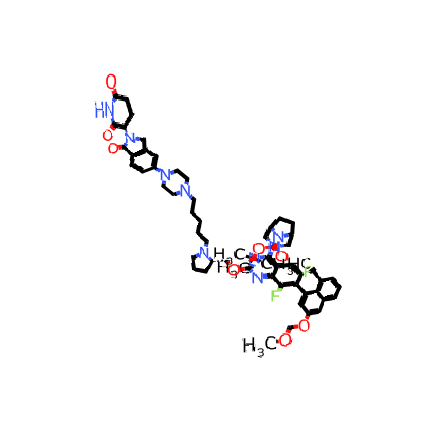 C#Cc1cccc2cc(OCOC)cc(-c3c(F)cc4c(N5CC6CCC(C5)N6C(=O)OC(C)(C)C)nc(OC[C@@H]5CCCN5CCCCCN5CCN(c6ccc7c(c6)CN([C@H]6CCC(=O)NC6=O)C7=O)CC5)nc4c3F)c12